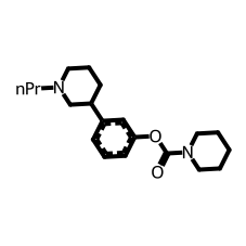 CCCN1CCCC(c2cccc(OC(=O)N3CCCCC3)c2)C1